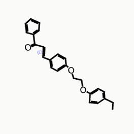 CCc1ccc(OCCOc2ccc(/C=C/C(=O)c3ccccc3)cc2)cc1